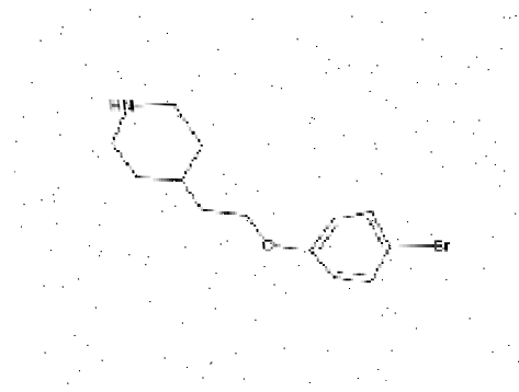 Brc1ccc(OCCC2CCNCC2)cc1